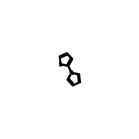 c1csc(-n2cccc2)c1